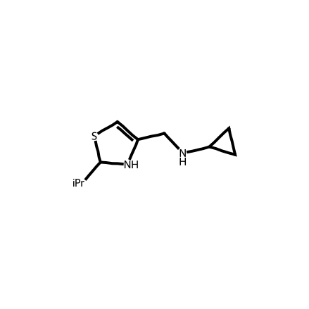 CC(C)C1NC(CNC2CC2)=CS1